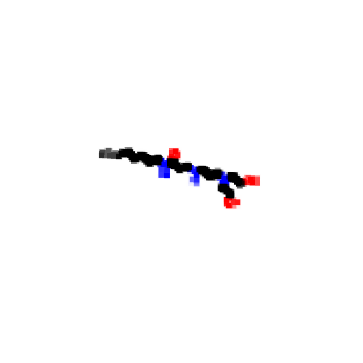 CCCCCCCCCCCCCCCNC(=O)CCNCCCN(CCO)CCO